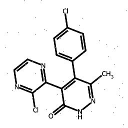 Cc1n[nH]c(=O)c(-c2nccnc2Cl)c1-c1ccc(Cl)cc1